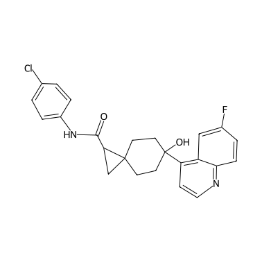 O=C(Nc1ccc(Cl)cc1)C1CC12CCC(O)(c1ccnc3ccc(F)cc13)CC2